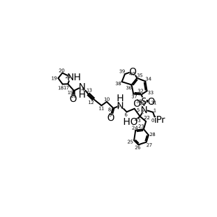 CC(C)CN(C(O)(CCNC(=O)CCC#CNC(=O)C1CCCN1)Cc1ccccc1)S(=O)(=O)c1ccc2c(c1)CCO2